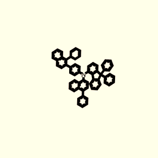 C1=CCC(c2c(-c3ccc(N(c4cccc5c4-c4ccccc4C5(c4ccccc4)c4ccccc4)c4ccc(-c5ccccc5)c5ccccc45)cc3)ccc3ccccc23)C=C1